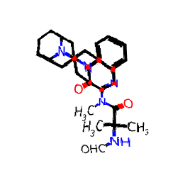 CN(C(=O)C(C)(C)NC=O)c1nc2ccccc2n(C2CC3CCCC(C2)N3C2CC3CCCC(C3)C2)c1=O